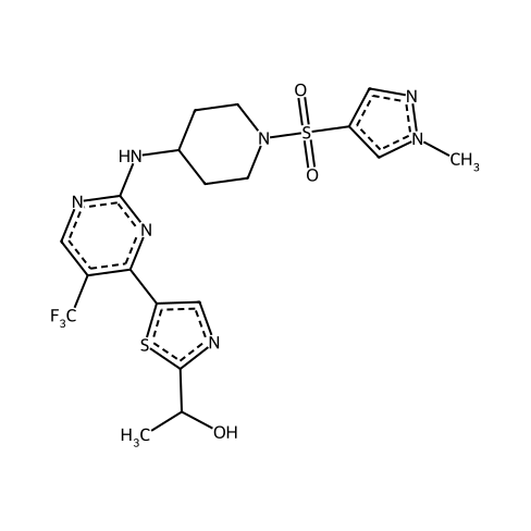 CC(O)c1ncc(-c2nc(NC3CCN(S(=O)(=O)c4cnn(C)c4)CC3)ncc2C(F)(F)F)s1